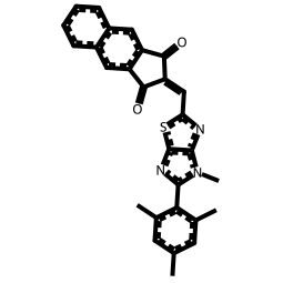 Cc1cc(C)c(-c2nc3sc(C=C4C(=O)c5cc6ccccc6cc5C4=O)nc3n2C)c(C)c1